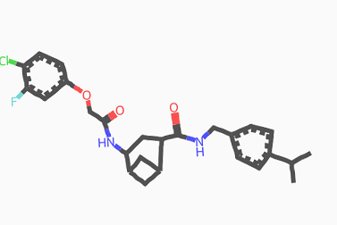 CC(C)c1ccc(CNC(=O)C2CC(NC(=O)COc3ccc(Cl)c(F)c3)C3CC2C3)cc1